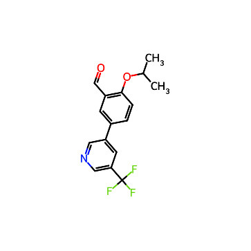 CC(C)Oc1ccc(-c2cncc(C(F)(F)F)c2)cc1C=O